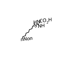 CCCCCCCCCCCCCCCC[N+](C)(C)C(=N)NC(=O)O